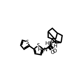 NC(=O)[C@]12CC3CC(C1)[C@@H](NC(=O)c1ccc(-c4cccs4)s1)C(C3)C2